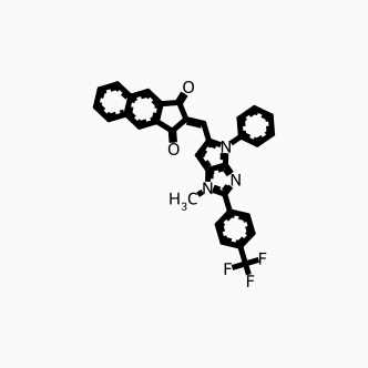 Cn1c(-c2ccc(C(F)(F)F)cc2)nc2c1cc(C=C1C(=O)c3cc4ccccc4cc3C1=O)n2-c1ccccc1